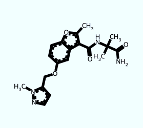 Cc1oc2ccc(OCc3ccnn3C)cc2c1C(=O)NC(C)(C)C(N)=O